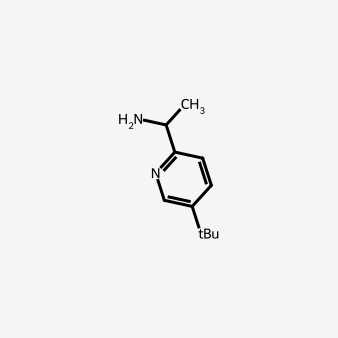 CC(N)c1ccc(C(C)(C)C)cn1